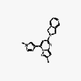 Cc1cc2nc(N3Cc4ccccc4C3)cc(-c3cnn(C)c3)n2n1